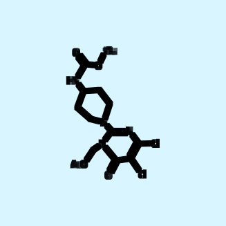 CC(=O)OCn1c(N2CCC(NC(=O)OC(C)(C)C)CC2)nc(Cl)c(Cl)c1=O